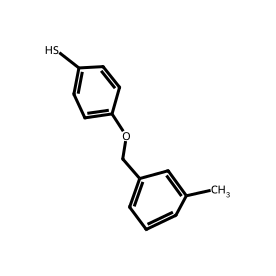 Cc1cccc(COc2ccc(S)cc2)c1